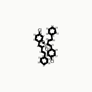 O=S(=O)(C(=C\c1ccc(Cl)cc1)/C=C/c1ccccc1)C(=C\c1ccc(Cl)cc1)/C=C/c1ccccc1